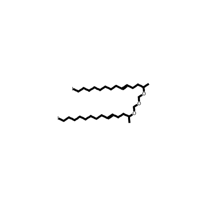 CC(CCC=CCCCCCCCCI)OCOCOC(C)CCC=CCCCCCCCCI